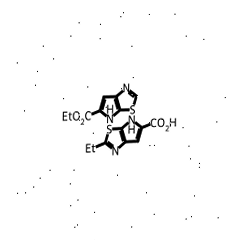 CCOC(=O)c1cc2ncsc2[nH]1.CCc1nc2cc(C(=O)O)[nH]c2s1